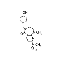 CN(C)c1ccc2c(n1)N(C)CCN(Cc1ccc(O)cc1)C2=O